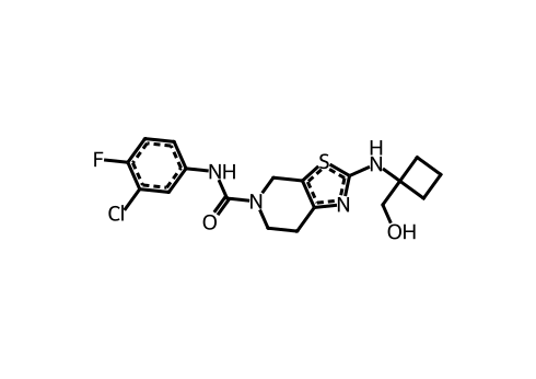 O=C(Nc1ccc(F)c(Cl)c1)N1CCc2nc(NC3(CO)CCC3)sc2C1